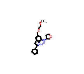 COCCOCc1cc(NC2CCOC2)c2[nH]c(-c3ccccc3)cc2c1